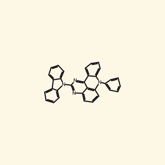 c1ccc(N2c3ccccc3-c3nc(-n4c5ccccc5c5ccccc54)nc4cccc2c34)cc1